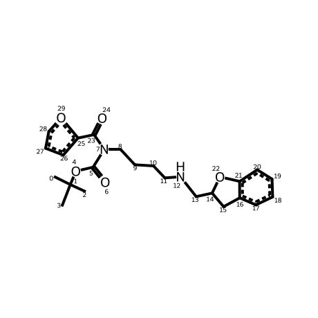 CC(C)(C)OC(=O)N(CCCCNCC1Cc2ccccc2O1)C(=O)c1ccco1